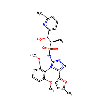 COc1cccc(OC)c1-n1c(NS(=O)(=O)[C@H](C)[C@H](O)c2cccc(C)n2)nnc1-c1ccc(C)o1